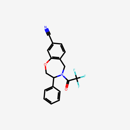 N#Cc1ccc2c(c1)OCC(c1ccccc1)N(C(=O)C(F)(F)F)C2